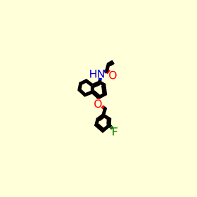 C=CC(=O)Nc1ccc(OCc2cccc(F)c2)c2c1CCCC2